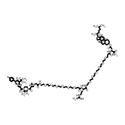 CC(C)CCC[C@@H](C)[C@H]1CC[C@H]2[C@@H]3CCC4CC(OC(=O)C[C@H](NC(=O)CCOCCOCCOCCOCCOCCOCCNC(=O)[C@H](CCCNC(=N)N)NC(=O)CCOCCOCCOCCOCCOCCOCCNC(=O)Cn5cc(C(=O)N6CCN(C(=O)c7cn8nc(-c9ccc(F)cc9)cc(C(C)(C)C)c8n7)C(C)(C)C6)nn5)C(N)=O)CC[C@]4(C)[C@H]3CC[C@]12C